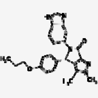 CCCOc1ccc([C@H]2c3c(nn(C)c3C)C(=O)N2c2ccc3[nH]cnc3c2)cc1